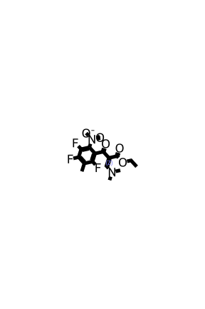 CCOC(=O)/C(=C\N(C)C)C(=O)c1c(F)c(C)c(F)c(F)c1[N+](=O)[O-]